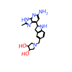 Cc1nc2c(C3Cc4cc(CN5CC(O)C(O)C5)ccc4N3)cc(N)nc2[nH]1